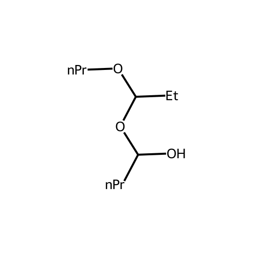 CCCOC(CC)OC(O)CCC